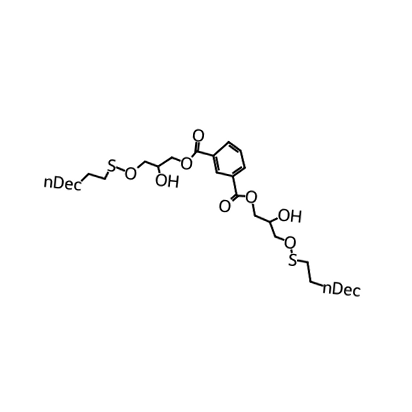 CCCCCCCCCCCCSOCC(O)COC(=O)c1cccc(C(=O)OCC(O)COSCCCCCCCCCCCC)c1